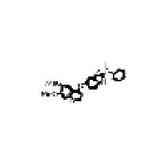 COc1cc2nccc(Oc3ccc4nc(NC5CCCCC5)sc4c3)c2cc1OC